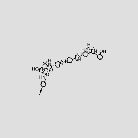 CC#Cc1ccc(CNC(=O)[C@@H]2C[C@@H](O)CN2C(=O)[C@@H](NC(=O)[C@H]2CCC3(CC2)C[C@H](N2CCC(c4cnc(N5CCN6c7cc(-c8ccccc8O)nnc7NC[C@H]6C5)nc4)CC2)C3)C(C)(C)C)cc1